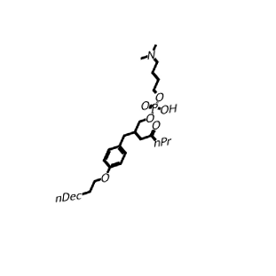 CCCCCCCCCCCCOc1ccc(CC(COP(=O)(O)OCCCCN(C)C)CC(=O)CCC)cc1